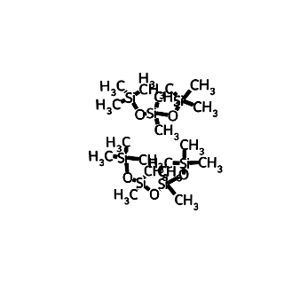 C[Si](C)(C)O[Si](C)(C)O[Si](C)(C)C.C[Si](C)(C)O[Si](C)(C)O[Si](C)(C)O[Si](C)(C)C